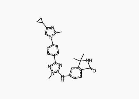 Cc1nc(C2CC2)cn1-c1ccc(-c2nc(Nc3ccc4c(c3)C(C)(C)NC4=O)n(C)n2)cc1